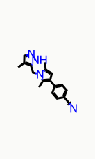 Cc1cn[nH]c1Cn1c(C)cc(-c2ccc(C#N)cc2)c1C